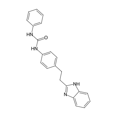 O=C(Nc1ccccc1)Nc1ccc(CCc2nc3ccccc3[nH]2)cc1